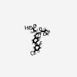 C[C@H](C[C@@H](Cc1ccc(-c2cc(Cl)ccc2F)cc1)NC(=O)c1cnco1)C(=O)O